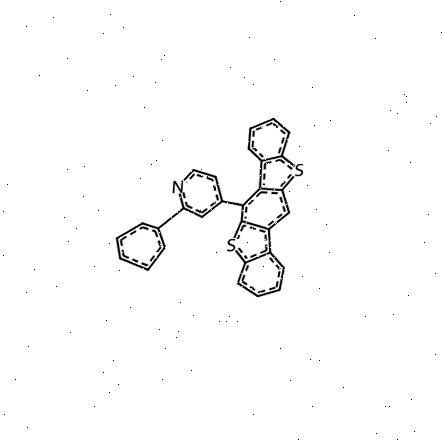 c1ccc(-c2cc(-c3c4sc5ccccc5c4cc4sc5ccccc5c34)ccn2)cc1